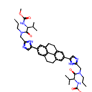 CCCN(Cc1ncc(-c2cc3c4c(c2)CCc2cc(-c5cnc(CN(CCC)C(=O)[C@@H](NC(=O)OC)C(C)C)[nH]5)cc(c2-4)CC3)[nH]1)C(=O)[C@@H](NC(=O)OC)C(C)C